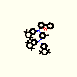 Cc1cc(N(c2ccc3c(c2)C(C)(C)CCC3(C)C)c2ccc3c(c2)C(C)(C)CCC3(C)C)cc(N(c2ccc3c(c2)C(C)(C)CCC3(C)C)c2cccc3c2oc2ccccc23)c1